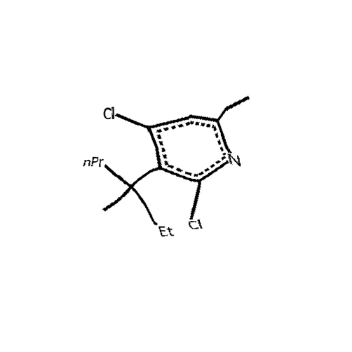 CCCC(C)(CC)c1c(Cl)cc(C)nc1Cl